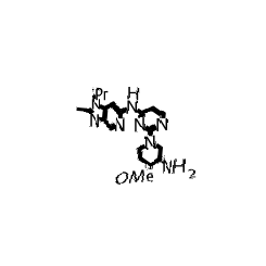 CO[C@H]1CCN(c2nccc(Nc3cc4c(cn3)nc(C)n4C(C)C)n2)C[C@@H]1N